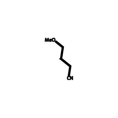 COC[CH]CC#N